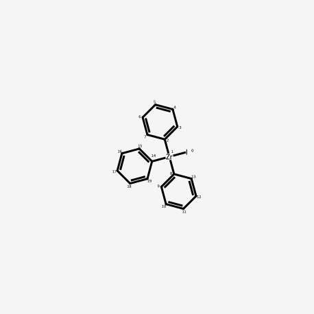 [I][Zr]([c]1ccccc1)([c]1ccccc1)[c]1ccccc1